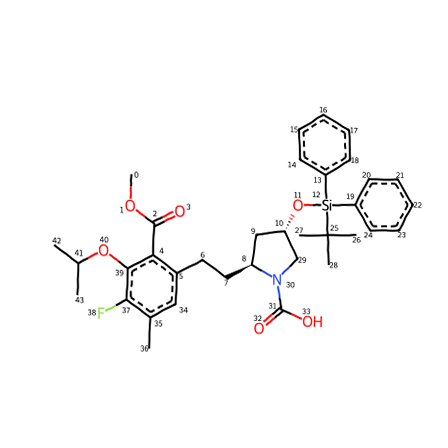 COC(=O)c1c(CC[C@H]2C[C@H](O[Si](c3ccccc3)(c3ccccc3)C(C)(C)C)CN2C(=O)O)cc(C)c(F)c1OC(C)C